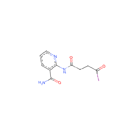 NC(=O)c1cccnc1NC(=O)CCC(=O)I